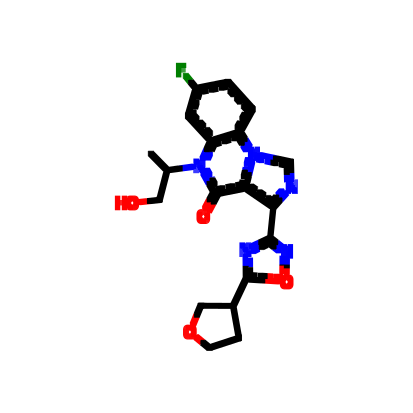 CC(CO)n1c(=O)c2c(-c3noc(C4CCOC4)n3)ncn2c2ccc(F)cc21